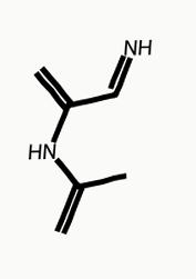 C=C(C)NC(=C)C=N